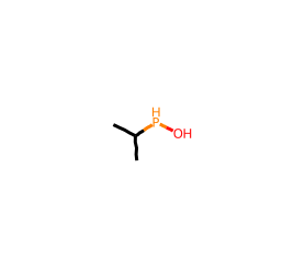 CC(C)PO